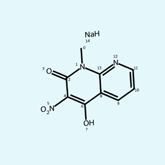 Cn1c(=O)c([N+](=O)[O-])c(O)c2cccnc21.[NaH]